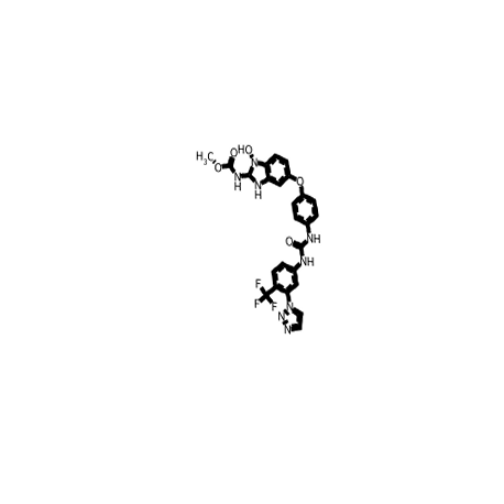 COC(=O)NC1Nc2cc(Oc3ccc(NC(=O)Nc4ccc(C(F)(F)F)c(-n5ccnn5)c4)cc3)ccc2N1O